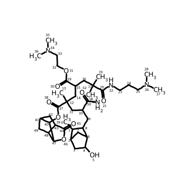 CC1C2CC(O)C(C2)C1CC(CC(C)(CC(CC(C)(C)C(=O)NCCCN(C)C)C(=O)OCCN(C)C)C(=O)OC1C2CC3C(=O)OC1C3C2)C(N)=O